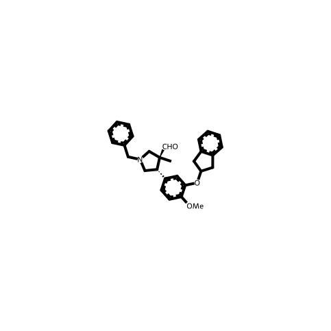 COc1ccc([C@@H]2CN(Cc3ccccc3)C[C@@]2(C)C=O)cc1OC1Cc2ccccc2C1